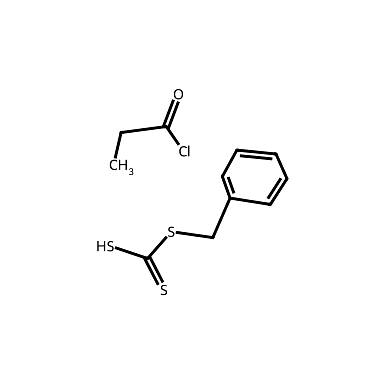 CCC(=O)Cl.S=C(S)SCc1ccccc1